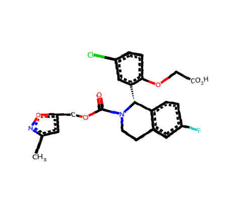 Cc1cc(COC(=O)N2CCc3cc(F)ccc3[C@H]2c2cc(Cl)ccc2OCC(=O)O)on1